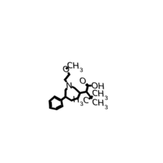 COCCN1CC(c2ccccc2)CCC(C(C(=O)O)C(C)(C)C)C1